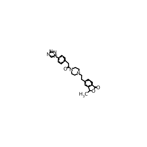 CC1OC(=O)c2ccc(CCN3CCN(C(=O)Cc4ccc(-n5cnnn5)cc4)CC3)cc21